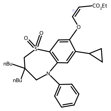 CCCCC1(CCCC)CN(c2ccccc2)c2cc(C3CC3)c(O/C=C\C(=O)OCC)cc2S(=O)(=O)C1